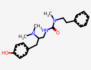 CN(CCc1ccccc1)C(=O)NCC(Cc1ccc(O)cc1)N(C)C